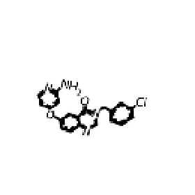 Nc1cc(Oc2ccc3ncn(Cc4cccc(Cl)c4)c(=O)c3c2)ccn1